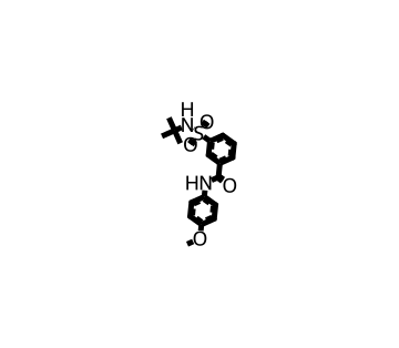 COc1ccc(NC(=O)c2cccc(S(=O)(=O)NC(C)(C)C)c2)cc1